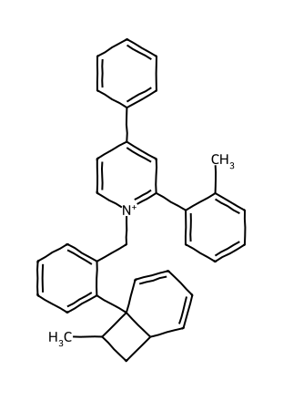 Cc1ccccc1-c1cc(-c2ccccc2)cc[n+]1Cc1ccccc1C12C=CC=CC1CC2C